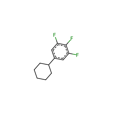 Fc1cc(C2CCCCC2)cc(F)c1F